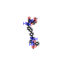 COC(=O)NC(C(=O)N1CCC[C@H]1c1nc(-c2ccc(-c3ccc4cc(-c5c[nH]c([C@@H]6CC(=O)CN6C(=O)[C@@H](NC(=O)OC)C(C)C)n5)ccc4c3)cc2)c[nH]1)c1ccccc1